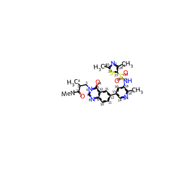 CNC(=O)C(C)Cn1cnc2ccc(-c3cnc(C)c(NS(=O)(=O)c4sc(C)nc4C)c3)cc2c1=O